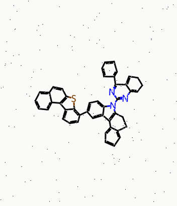 C1=c2nc(-n3c4c(c5cc(-c6cccc7c6sc6ccc8ccccc8c67)ccc53)-c3ccccc3CC4)nc(-c3ccccc3)c2=CCC1